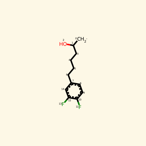 [CH2]C(O)CCCCc1ccc(F)c(F)c1